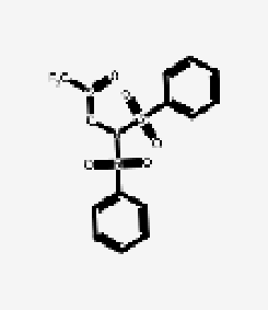 O=S(ON(S(=O)(=O)c1ccccc1)S(=O)(=O)c1ccccc1)C(F)(F)F